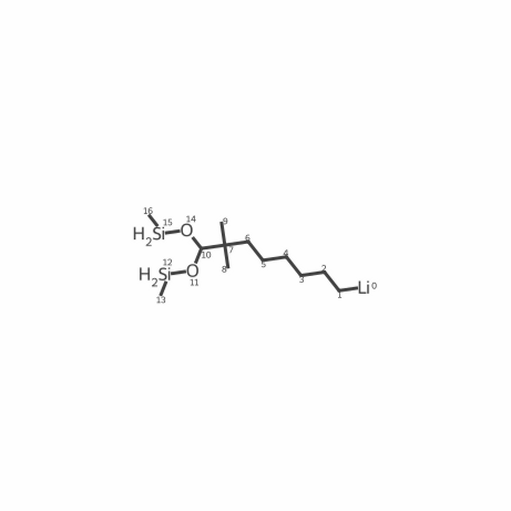 [Li][CH2]CCCCCC(C)(C)C(O[SiH2]C)O[SiH2]C